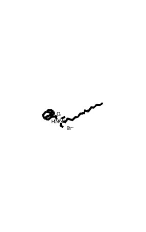 CCCCCCCCCCCCCC[N+](CC)(CC)NC(=O)C12CC3CC(CC(C3)C1)C2.[Br-]